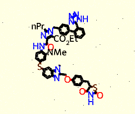 CCCc1nc(C(=O)Nc2ccc(Sc3ccc4nc(COc5ccc(CC6SC(=O)NC6=O)cc5)n(C)c4c3)cc2NC)c(C(=O)OCC)n1Cc1ccc(-c2ccccc2-c2nnn[nH]2)cc1